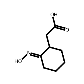 O=C(O)CC1CCCCC1=NO